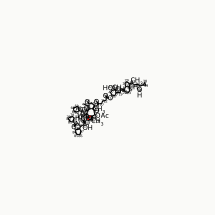 CC(=O)OC1C(=O)C2(C)C(OC(=O)CCCC(=O)O[C@@H]3C/C(=C/C=C4\CCC[C@@]5(C)C4CCC5[C@@H](C)/C=C/C(O)C4CC4)C(C)(C)[C@@H](O)C3)CC3OCC3(OC(C)=O)C2C(OC(=O)c2ccccc2)C2(O)CC(OC(=O)C(O)C(NC(=O)c3ccccc3)c3ccccc3)C(C)=C1C2(C)C